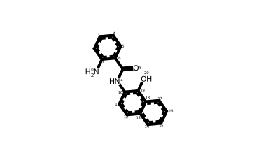 Nc1ccccc1C(=O)Nc1ccc2ccccc2c1O